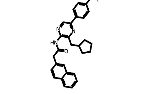 Nc1ccc(-c2cnc(NC(=O)Cc3ccc4ccccc4c3)c(CC3CCCC3)n2)cc1